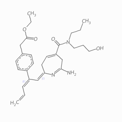 C=C/C=C(\C=C1/CC=C(C(=O)N(CCC)CCCO)CC(N)=N1)c1ccc(CC(=O)OCC)cc1